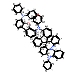 c1ccc(N2c3ccccc3N3c4ccccc4C4(c5ccccc5-c5c(N(c6ccccc6)c6cccc7c6oc6c(N(c8ccccc8)c8ccccc8)cccc67)cccc54)c4cccc2c43)cc1